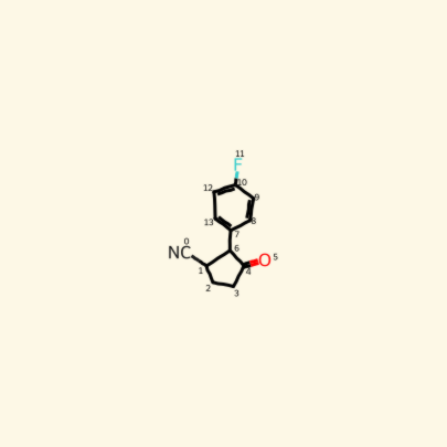 N#CC1CCC(=O)C1c1ccc(F)cc1